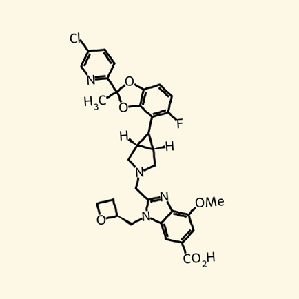 COc1cc(C(=O)O)cc2c1nc(CN1C[C@@H]3C(c4c(F)ccc5c4OC(C)(c4ccc(Cl)cn4)O5)[C@@H]3C1)n2C[C@@H]1CCO1